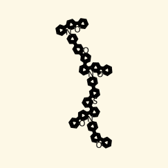 c1ccc2c(c1)oc1ccc(-c3ccc(-n4c5cccc(-c6cccc7c6sc6ccc(-c8ccc(-n9c%10cccc(-c%11ccc%12oc%13cc(-c%14ccc(-n%15c%16ccccc%16c%16ccc%17c%18ccccc%18oc%17c%16%15)cc%14)ccc%13c%12c%11)c%10c%10ccc%11c%12ccccc%12oc%11c%109)cc8)cc67)c5c5ccc6c7ccccc7oc6c54)cc3)cc12